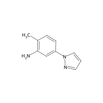 Cc1ccc(-n2cccn2)cc1N